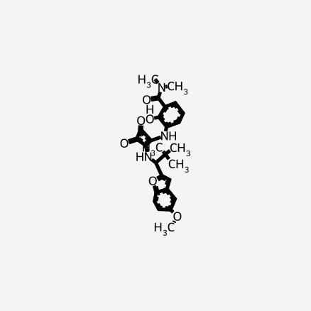 COc1ccc2oc(C(Nc3c(Nc4cccc(C(=O)N(C)C)c4O)c(=O)c3=O)C(C)(C)C)cc2c1